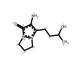 CC(O)CCc1c(N)c(=O)n2n1CCC2